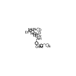 CCc1nc2c(cnn2CC)c(NC2CCOCC2)c1CNC(=O)C1(C(=O)NCc2ccc(OC)c(-c3cccc(CC4CCN(C)CC4)c3)c2)CC1